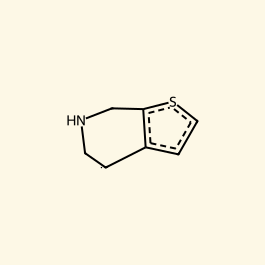 [CH]1CNCc2sccc21